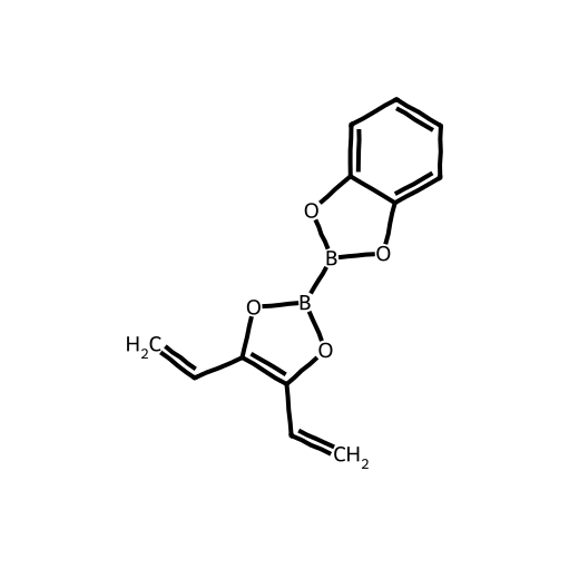 C=CC1=C(C=C)OB(B2Oc3ccccc3O2)O1